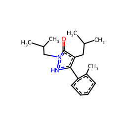 Cc1ccccc1-c1[nH]n(CC(C)C)c(=O)c1CC(C)C